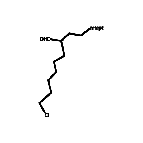 CCCCCCCCCC(C=O)CCCCCCCl